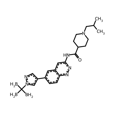 BC(B)(B)n1cc(-c2ccc3nnc(NC(=O)C4CCN(CC(C)C)CC4)cc3c2)cn1